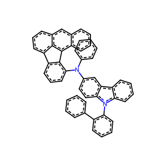 c1ccc(-c2ccccc2-n2c3ccccc3c3cc(N(c4ccccc4)c4cccc5c4-c4c6ccccc6cc6cccc-5c46)ccc32)cc1